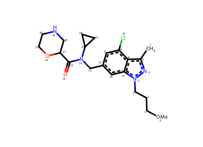 COCCCn1nc(C)c2c(Cl)cc(CN(C(=O)C3CNCCO3)C3CC3)cc21